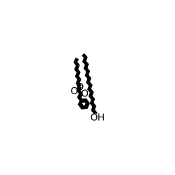 CCCCCCCCCCCCCCCCCCO.CCCCCCCCOC(=O)C(=Cc1ccccc1)OC